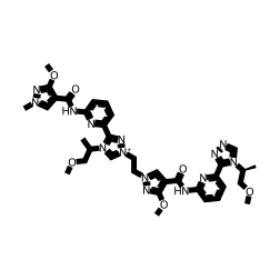 COCC(C)n1c[n+](CCn2cc(C(=O)Nc3cccc(-c4nncn4[C@@H](C)COC)n3)c(OC)n2)nc1-c1cccc(NC(=O)c2cn(C)nc2OC)n1